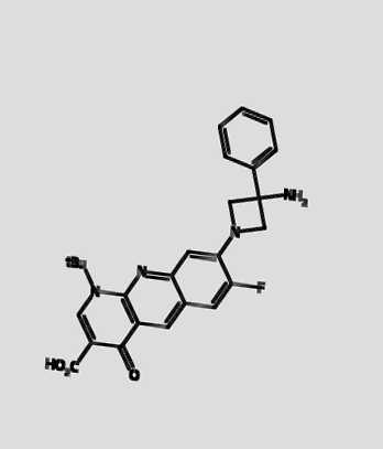 CC(C)(C)n1cc(C(=O)O)c(=O)c2cc3cc(F)c(N4CC(N)(c5ccccc5)C4)cc3nc21